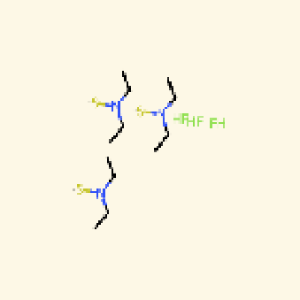 CCN([S])CC.CCN([S])CC.CCN([S])CC.F.F.F